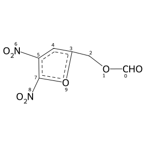 O=COCc1cc([N+](=O)[O-])c([N+](=O)[O-])o1